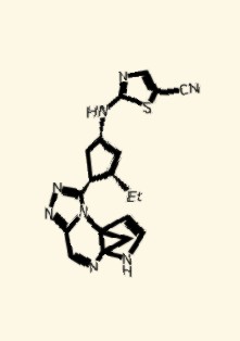 CC[C@@H]1C[C@H](Nc2ncc(C#N)s2)C[C@@H]1c1nnc2n1C13C=CNC1(C3)N=C2